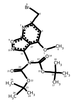 COc1cc(CBr)nc2onc(N(C(=O)OC(C)(C)C)C(=O)OC(C)(C)C)c12